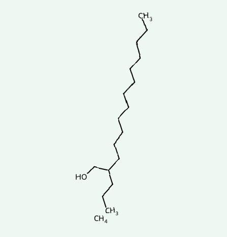 C.CCCCCCCCCCCCC(CO)CCC